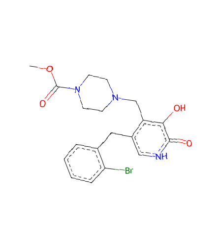 COC(=O)N1CCN(Cc2c(Cc3ccccc3Br)c[nH]c(=O)c2O)CC1